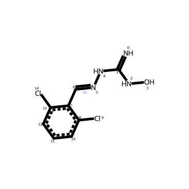 N=C(NO)N/N=C/c1c(Cl)cccc1Cl